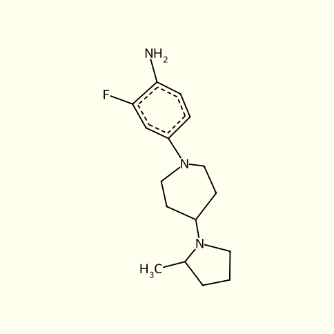 CC1CCCN1C1CCN(c2ccc(N)c(F)c2)CC1